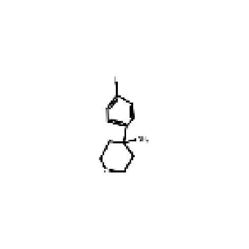 NC1(c2ccc(F)cc2)CCOCC1